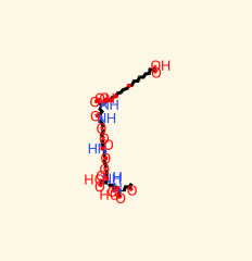 CC(=O)CC[C@H](NC(=O)CC[C@@H](NC(=O)COCCOCCNC(=O)COCCOCCNC(=O)CC[C@H](NC(=O)CCCCCCCCCCCCCCCCC(=O)O)C(=O)O)C(=O)O)C(=O)O